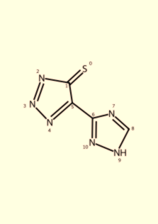 S=C1N=NN=C1c1nc[nH]n1